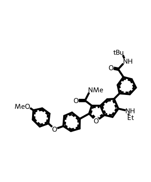 CCNc1cc2oc(-c3ccc(Oc4ccc(OC)cc4)cc3)c(C(=O)NC)c2cc1-c1cccc(C(=O)NC(C)(C)C)c1